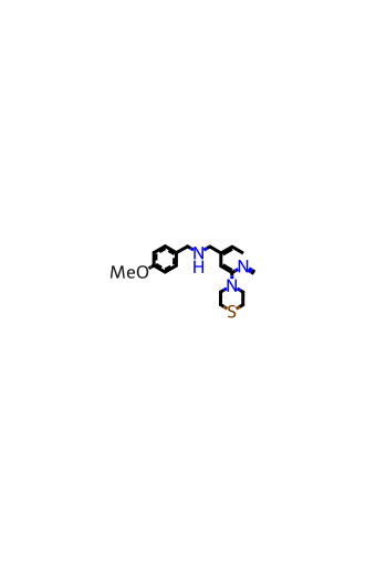 C=N/C(=C\C(=C/C)CNCc1ccc(OC)cc1)N1CCSCC1